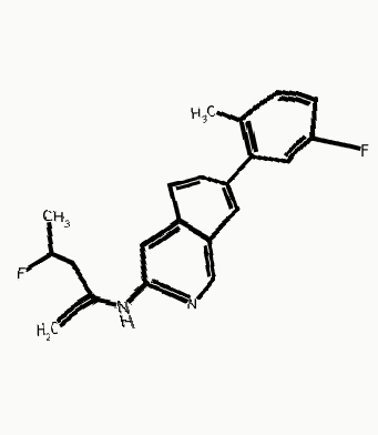 C=C(CC(C)F)Nc1cc2ccc(-c3cc(F)ccc3C)cc2cn1